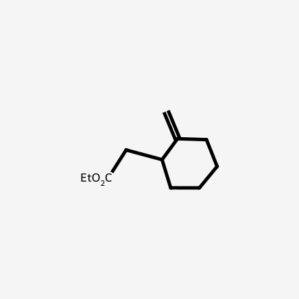 C=C1CCCCC1CC(=O)OCC